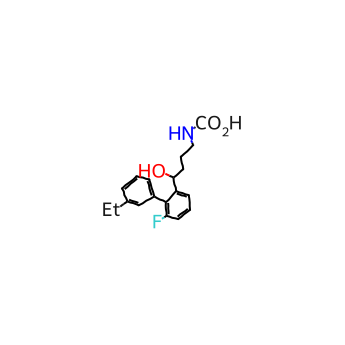 CCc1cccc(-c2c(F)cccc2C(O)CCCNC(=O)O)c1